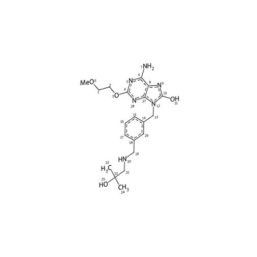 COCCOc1nc(N)c2nc(O)n(Cc3cccc(CNCC(C)(C)O)c3)c2n1